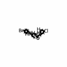 O=C(c1cc2cc(Cl)ccc2[nH]1)N1CCC(NNc2ccc(Br)cc2)CC1